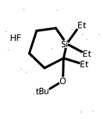 CCC1(OC(C)(C)C)CCCC[Si]1(CC)CC.F